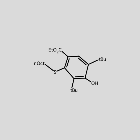 CCCCCCCCSc1c(C(=O)OCC)cc(C(C)(C)C)c(O)c1C(C)(C)C